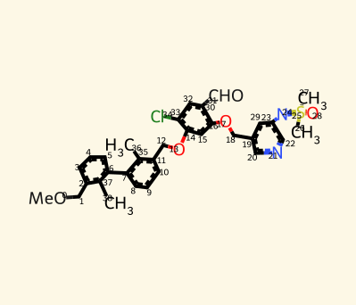 COCc1cccc(-c2cccc(COc3cc(OCc4cncc(N=S(C)(C)=O)c4)c(C=O)cc3Cl)c2C)c1C